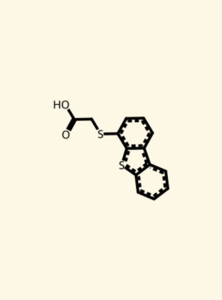 O=C(O)CSc1cccc2c1sc1ccccc12